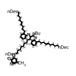 CCCCCCCCCCCCCC/C=C/CCCc1ccccc1/N=C(CCCC)\C(CCCCCCCCCCCCCCCCCCC)=N\c1ccccc1CCC/C=C/CCCCCCCCCCCCCC.Cc1ccc([O-])c([O-])c1.[Ni+2]